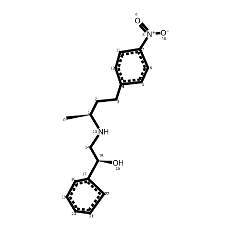 C[C@@H](CCc1ccc([N+](=O)[O-])cc1)NC[C@@H](O)c1ccccc1